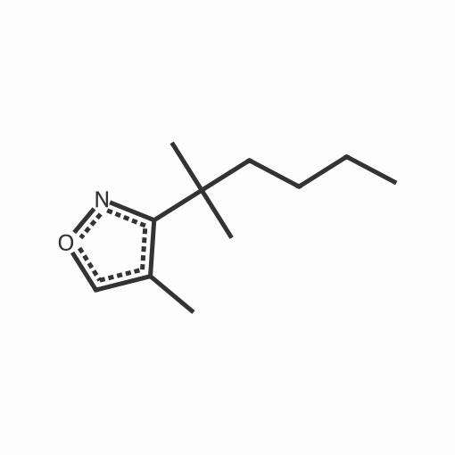 CCCCC(C)(C)c1nocc1C